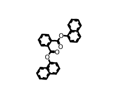 O=C(Oc1cccc2ccccc12)c1ccccc1C(=O)Oc1cccc2ccccc12